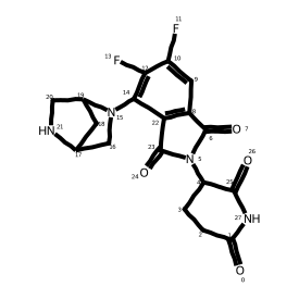 O=C1CCC(N2C(=O)c3cc(F)c(F)c(N4CC5CC4CN5)c3C2=O)C(=O)N1